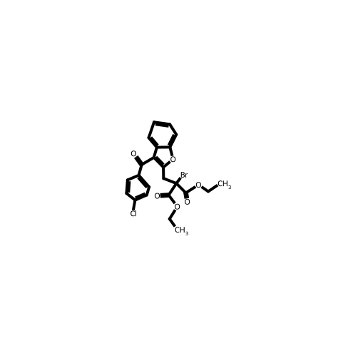 CCOC(=O)C(Br)(Cc1oc2ccccc2c1C(=O)c1ccc(Cl)cc1)C(=O)OCC